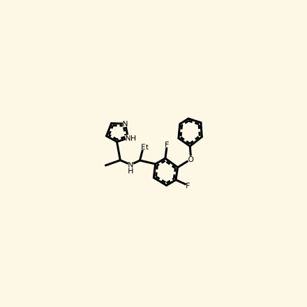 CCC(NC(C)c1ccn[nH]1)c1ccc(F)c(Oc2ccccc2)c1F